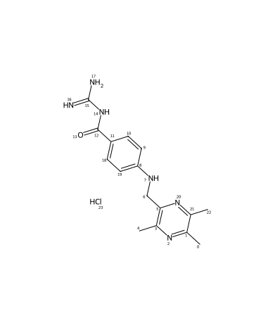 Cc1nc(C)c(CNc2ccc(C(=O)NC(=N)N)cc2)nc1C.Cl